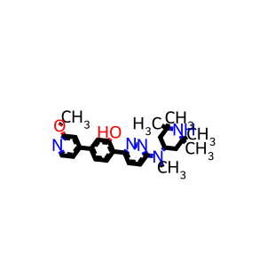 COc1cc(-c2ccc(-c3ccc(N(C)C4CC(C)(C)NC(C)(C)C4)nn3)c(O)c2)ccn1